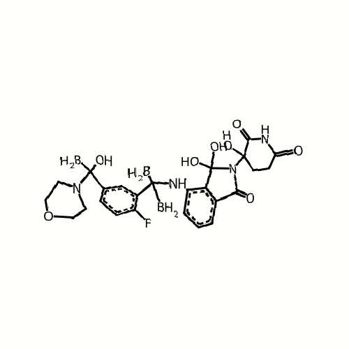 BC(B)(Nc1cccc2c1C(O)(O)N(C1(O)CCC(=O)NC1=O)C2=O)c1cc(C(B)(O)N2CCOCC2)ccc1F